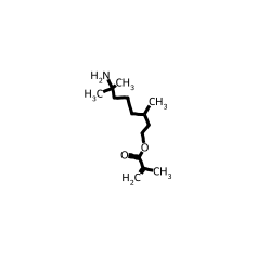 C=C(C)C(=O)OCCC(C)CCCC(C)(C)N